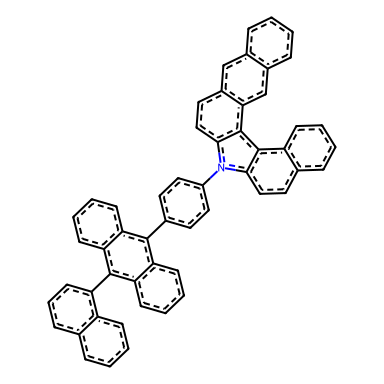 c1ccc2cc3c(ccc4c3c3c5ccccc5ccc3n4-c3ccc(-c4c5ccccc5c(-c5cccc6ccccc56)c5ccccc45)cc3)cc2c1